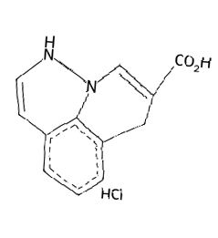 Cl.O=C(O)C1=CN2NC=Cc3cccc(c32)C1